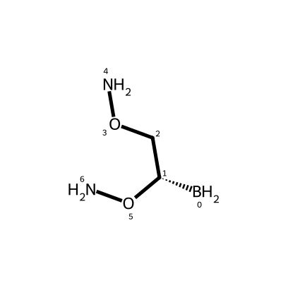 B[C@@H](CON)ON